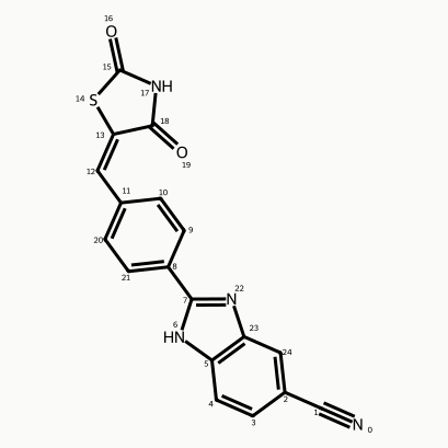 N#Cc1ccc2[nH]c(-c3ccc(C=C4SC(=O)NC4=O)cc3)nc2c1